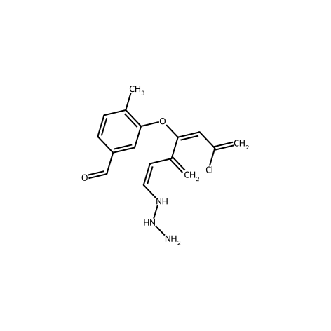 C=C(Cl)/C=C(/Oc1cc(C=O)ccc1C)C(=C)/C=C\NNN